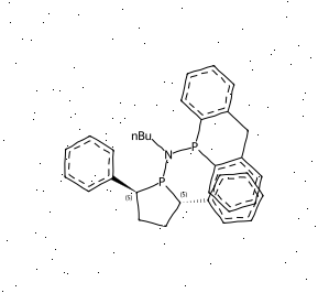 CCCCN(P1c2ccccc2Cc2ccccc21)P1[C@H](c2ccccc2)CC[C@H]1c1ccccc1